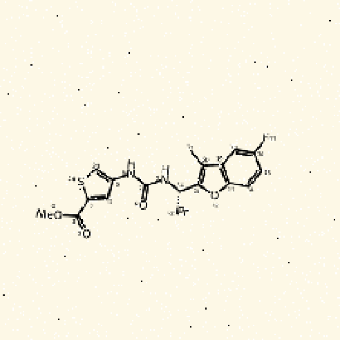 COC(=O)c1cc(NC(=O)N[C@H](c2oc3ccc(F)cc3c2C)C(C)C)cs1